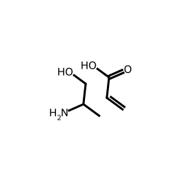 C=CC(=O)O.CC(N)CO